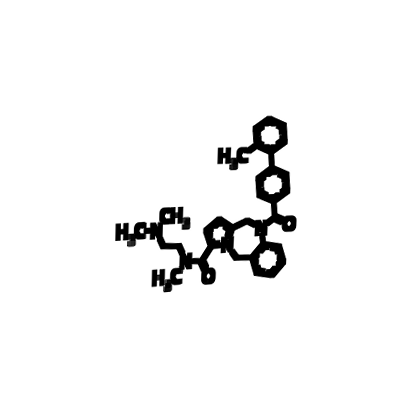 Cc1ccccc1-c1ccc(C(=O)N2Cc3ccc(C(=O)N(C)CCN(C)C)n3Cc3ccccc32)cc1